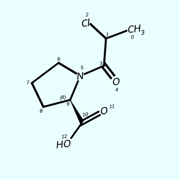 CC(Cl)C(=O)N1CCC[C@@H]1C(=O)O